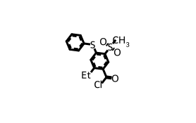 CCc1cc(Sc2ccccc2)c(S(C)(=O)=O)cc1C(=O)Cl